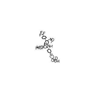 COC1(C(=O)O)CCN(c2ccc(C(=O)Nc3cc(CN4CCCC4C)c(-c4ccc(C(F)(F)F)cc4)cn3)cc2)CC1.Cl.Cl